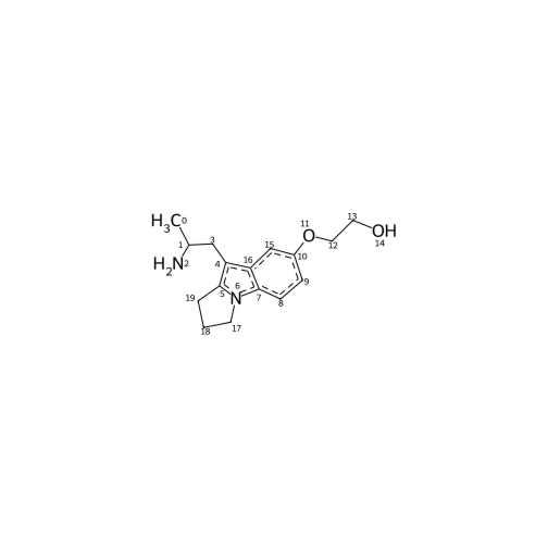 CC(N)Cc1c2n(c3ccc(OCCO)cc13)CCC2